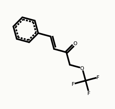 O=C(C=Cc1ccccc1)COC(F)(F)F